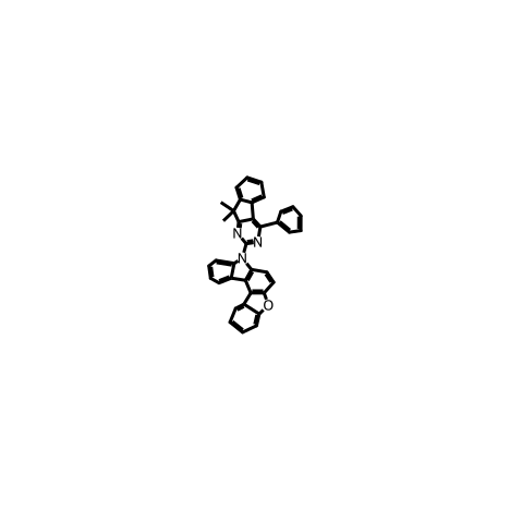 CC1(C)c2ccccc2-c2c(-c3ccccc3)nc(-n3c4ccccc4c4c5c(ccc43)oc3ccccc35)nc21